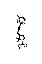 COC(=O)N1CC/C(=C\C#Cc2nccc(C)n2)C1(C)C